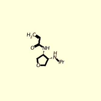 C=CC(=O)N[C@H]1COC[C@H]1NC(C)C